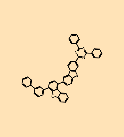 c1ccc(-c2cccc(-c3ccc(-c4ccc5sc6cc(-c7nc(-c8ccccc8)nc(-c8ccccc8)n7)ccc6c5c4)c4c3oc3ccccc34)c2)cc1